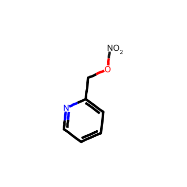 O=[N+]([O-])OCc1ccccn1